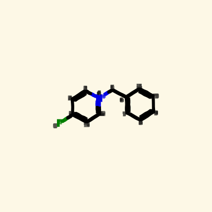 Fc1cc[n+](Cc2ccccc2)cc1